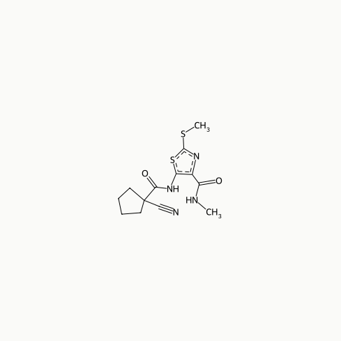 CNC(=O)c1nc(SC)sc1NC(=O)C1(C#N)CCCC1